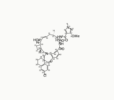 COc1nn(C)cc1C(=O)N[SH]1(=O)C[C@@H](C)C/C=C/[C@H](O)[C@@H]2CC[C@H]2CN2C[C@@]3(CCCc4cc(Cl)ccc43)COc3ccc(cc32)C(=O)N1